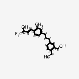 Cc1cc(CCCc2ccc(CO)c(CO)c2)ccc1C=CC(O)C(F)(F)F